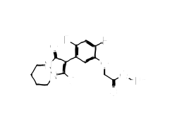 CC(C)OC(=O)COc1cc(-c2c(Cl)n3n(c2=O)CCCC3)c(F)cc1F